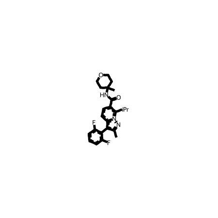 Cc1nn2c(C(C)C)c(C(=O)NC3(C)CCOCC3)ccc2c1-c1c(F)cccc1F